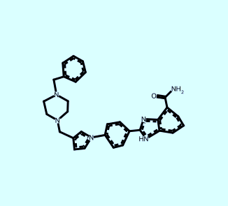 NC(=O)c1cccc2[nH]c(-c3ccc(-n4ccc(CN5CCN(Cc6ccccc6)CC5)c4)cc3)nc12